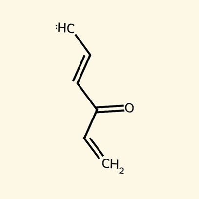 [CH]C=CC(=O)C=C